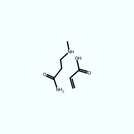 C=CC(=O)O.CNCCC(N)=O